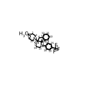 CN1CCN(C2(Cc3ccccc3)SCCN(c3ccc(C(F)(F)F)cc3)C2=O)CC1